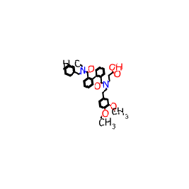 CCOc1ccc(CCN(CCC(=O)O)C(=O)c2ccccc2-c2ccccc2C(=O)N(CC)Cc2ccccc2)cc1OC